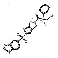 C[C@](CO)(C(=O)N1Cc2cn(S(=O)(=O)c3ccc4ncsc4c3)nc2C1)c1ccccc1